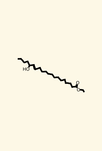 CCCCC(O)C=CCCCCCCCCCCCCC(=O)OCC